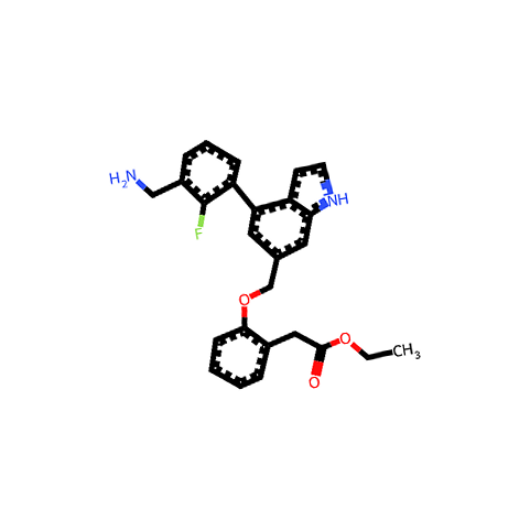 CCOC(=O)Cc1ccccc1OCc1cc(-c2cccc(CN)c2F)c2cc[nH]c2c1